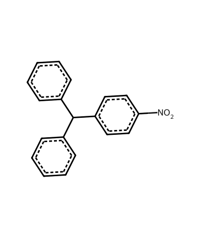 O=[N+]([O-])c1ccc(C(c2ccccc2)c2ccccc2)cc1